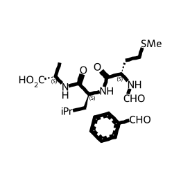 CSCC[C@H](NC=O)C(=O)N[C@@H](CC(C)C)C(=O)N[C@@H](C)C(=O)O.O=Cc1ccccc1